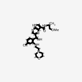 COCC(C)NC(=O)c1c[nH]c2ncc(C(=N)c3ccc(Cl)cc3NCCN3CCOCC3)nc12